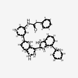 O=C(Cc1ccccc1)Nc1cncc(-c2ccc3[nH]nc(-c4nc5c(-c6ccccn6)cccc5[nH]4)c3n2)c1